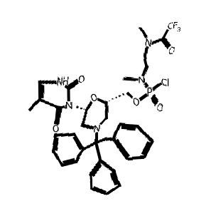 Cc1c[nH]c(=O)n([C@H]2CN(C(c3ccccc3)(c3ccccc3)c3ccccc3)C[C@@H](COP(=O)(Cl)N(C)CCN(C)C(=O)C(F)(F)F)O2)c1=O